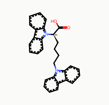 O=C(O)[C@@H](CCCCn1c2ccccc2c2ccccc21)n1c2ccccc2c2ccccc21